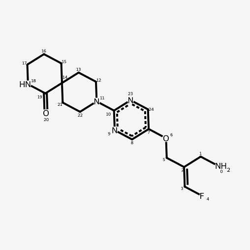 NC/C(=C\F)COc1cnc(N2CCC3(CCCNC3=O)CC2)nc1